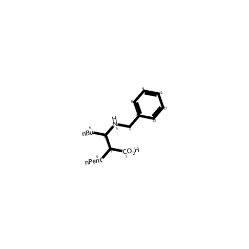 CCCCCC(C(=O)O)C(CCCC)NCc1ccccc1